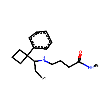 CCNC(=O)CCCNC(CC(C)C)C1(c2ccccc2)CCC1